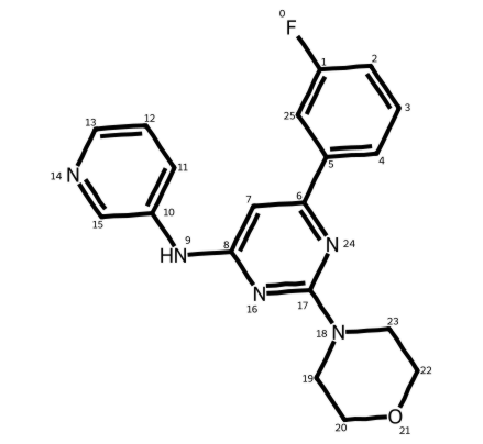 Fc1cccc(-c2cc(Nc3cccnc3)nc(N3CCOCC3)n2)c1